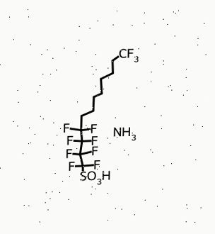 N.O=S(=O)(O)C(F)(F)C(F)(F)C(F)(F)C(F)(F)CCCCCCCC(F)(F)F